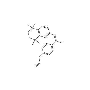 C=CCc1ccc(C(C)=Cc2ccc3c(c2)C(C)(C)CCC3(C)C)cc1